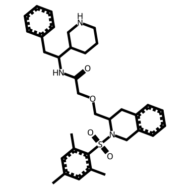 Cc1cc(C)c(S(=O)(=O)N2Cc3ccccc3CC2COCC(=O)NC(Cc2ccccc2)C2CCCNC2)c(C)c1